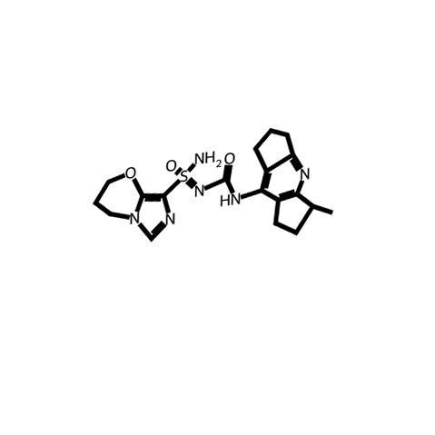 CC1CCc2c1nc1c(c2NC(=O)N=S(N)(=O)c2ncn3c2OCCC3)CCC1